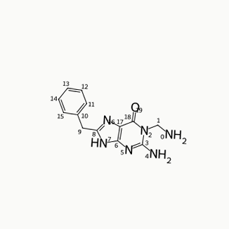 NCn1c(N)nc2[nH]c(Cc3ccccc3)nc2c1=O